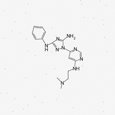 CN(C)CCNc1cc(-n2nc(Nc3ccccc3)nc2N)ncn1